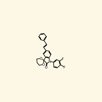 O=C1N(c2ccc(F)c(F)c2)c2ccc(/C=C/c3ccccc3)cc2C12OCCCO2